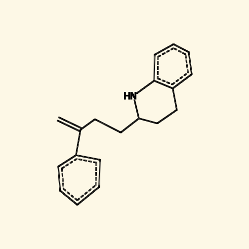 C=C(CCC1CCc2ccccc2N1)c1ccccc1